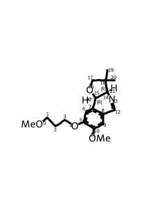 COCCCOc1cc2c(cc1OC)C=N[C@H]1[C@@H]2OCC1(C)C